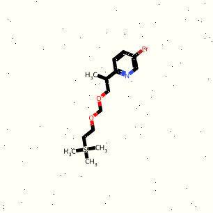 CC(COCOCC[Si](C)(C)C)c1ccc(Br)cn1